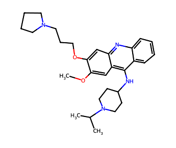 COc1cc2c(NC3CCN(C(C)C)CC3)c3ccccc3nc2cc1OCCCN1CCCC1